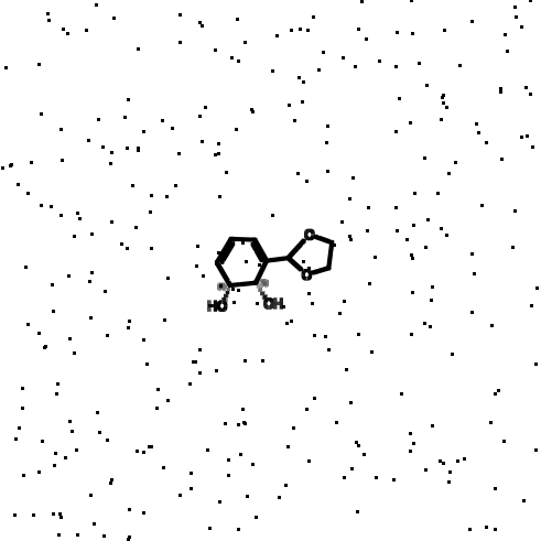 O[C@@H]1C=CC=C(C2OCCO2)[C@@H]1O